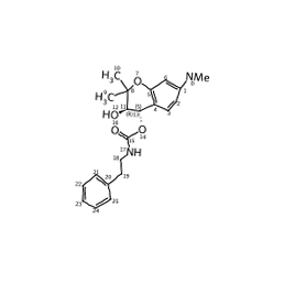 CNc1ccc2c(c1)OC(C)(C)[C@H](O)[C@H]2OC(=O)NCCc1ccccc1